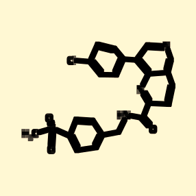 CS(=O)(=O)c1ccc(CNC(=O)c2ccc3cncc(-c4ccc(Cl)cc4)c3n2)cc1